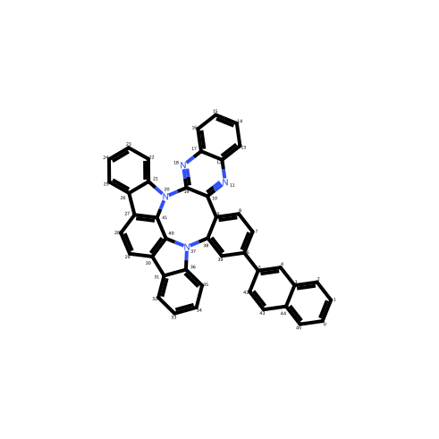 c1ccc2cc(-c3ccc4c5nc6ccccc6nc5n5c6ccccc6c6ccc7c8ccccc8n(c4c3)c7c65)ccc2c1